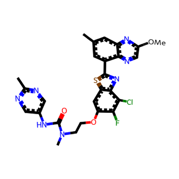 COc1cnc2c(-c3nc4c(Cl)c(F)c(OCCN(C)C(=O)Nc5cnc(C)nc5)cc4s3)cc(C)cc2n1